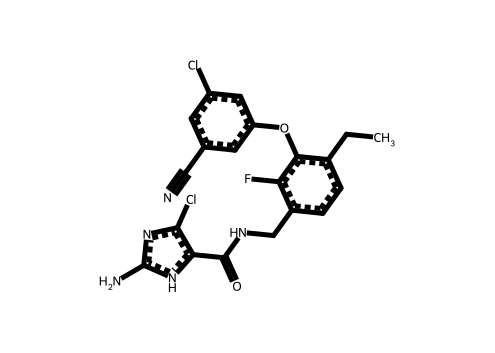 CCc1ccc(CNC(=O)c2[nH]c(N)nc2Cl)c(F)c1Oc1cc(Cl)cc(C#N)c1